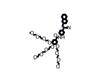 COCCOCCOCCOc1cc(C(=O)Nc2ccc(/C(C#N)=C/c3ccc4ccccc4c3)cc2)cc(OCCOCCOCCOC)c1OCCOCCOCCOC